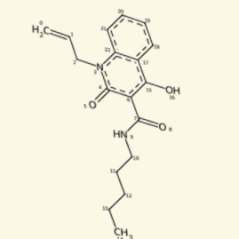 C=CCn1c(=O)c(C(=O)NCCCCC)c(O)c2ccccc21